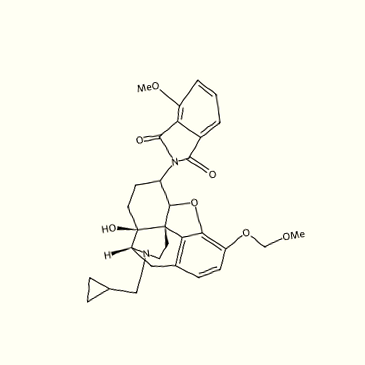 COCOc1ccc2c3c1OC1C(N4C(=O)c5cccc(OC)c5C4=O)CC[C@@]4(O)[C@@H](C2)N(CC2CC2)CC[C@]314